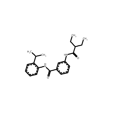 CCC(CC)C(=O)Nc1cccc(C(=O)Nc2ccccc2C(C)C)c1